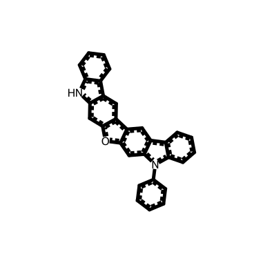 c1ccc(-n2c3ccccc3c3cc4c(cc32)oc2cc3[nH]c5ccccc5c3cc24)cc1